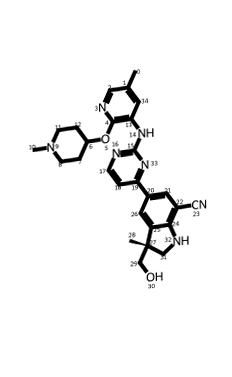 Cc1cnc(OC2CCN(C)CC2)c(Nc2nccc(-c3cc(C#N)c4c(c3)[C@@](C)(CO)CN4)n2)c1